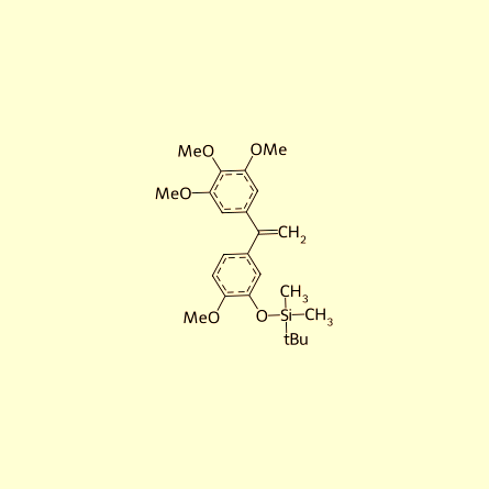 C=C(c1ccc(OC)c(O[Si](C)(C)C(C)(C)C)c1)c1cc(OC)c(OC)c(OC)c1